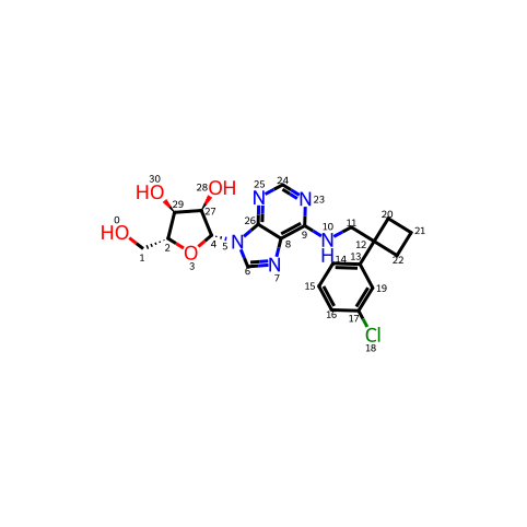 OC[C@H]1O[C@@H](n2cnc3c(NCC4(c5cccc(Cl)c5)CCC4)ncnc32)[C@H](O)[C@@H]1O